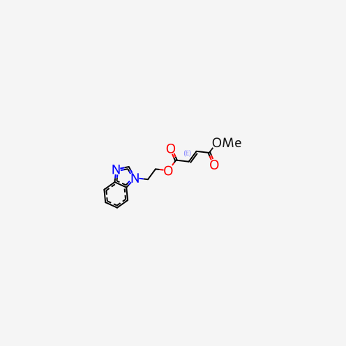 COC(=O)/C=C/C(=O)OCCn1cnc2ccccc21